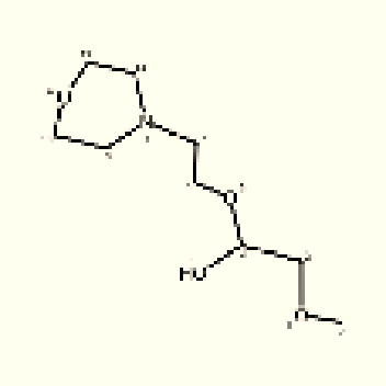 COCC(O)OCCN1CCOCC1